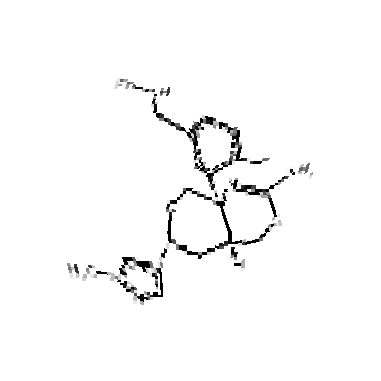 CCNCc1ccc(F)c([C@]23CO[C@@H](c4cnn(C)c4)C[C@H]2CSC(N)=N3)c1